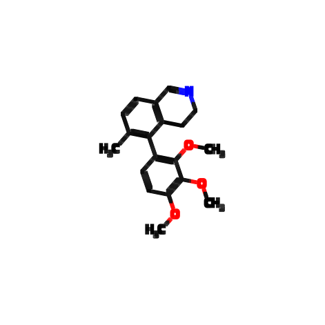 COc1ccc(-c2c(C)ccc3c2CCN=C3)c(OC)c1OC